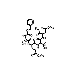 COC(=O)CCC(NC(=O)[C@H](CC(C)C)NC(=O)OCc1ccccc1)C(=O)NC(C(=O)NC(CC(=O)OC)C(=O)CF)[C@@H](C)O